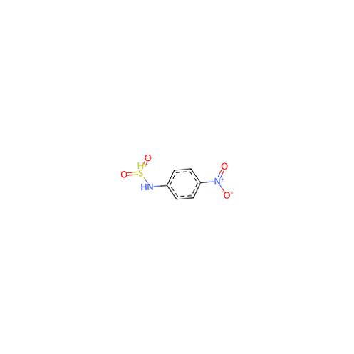 O=[N+]([O-])c1ccc(N[SH](=O)=O)cc1